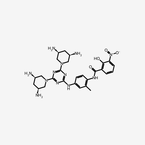 Cc1cc(Nc2nc(N3C[C@H](N)C[C@H](N)C3)nc(N3C[C@H](N)C[C@H](N)C3)n2)ccc1NC(=O)c1cccc([N+](=O)[O-])c1O